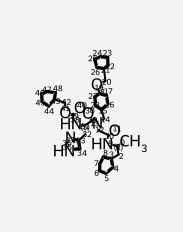 C[C@H](Cc1ccccc1)NC(=O)CN(Cc1ccc(OCc2ccccc2)cc1)C(=O)[C@H](Cc1c[nH]cn1)NC(=O)OCc1ccccc1